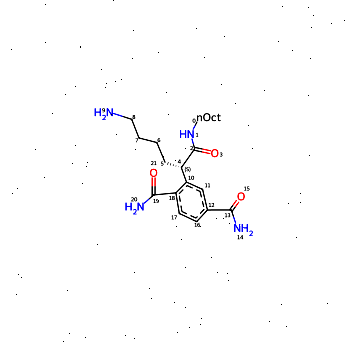 CCCCCCCCNC(=O)[C@@H](CCCCN)c1cc(C(N)=O)ccc1C(N)=O